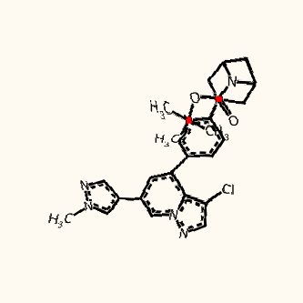 Cn1cc(-c2cc(-c3ccc(N4CC5CC(C4)N5C(=O)OC(C)(C)C)nc3)c3c(Cl)cnn3c2)cn1